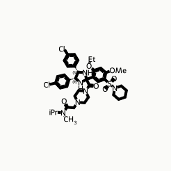 CCOc1cc(OC)c(S(=O)(=O)N2CCCCC2)cc1C1(C(=O)N2CCN(CC(=O)N(C)C(C)C)CC2)N[C@H](c2ccc(Cl)cc2)[C@H](c2ccc(Cl)cc2)N1